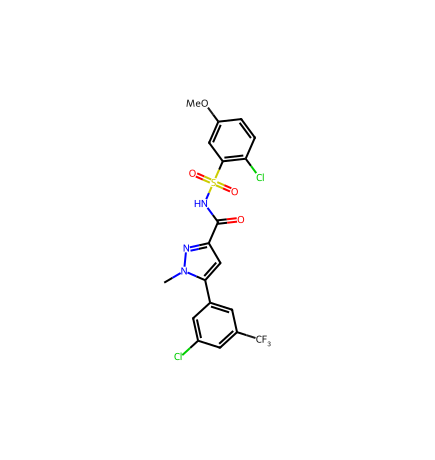 COc1ccc(Cl)c(S(=O)(=O)NC(=O)c2cc(-c3cc(Cl)cc(C(F)(F)F)c3)n(C)n2)c1